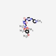 COc1cc(C)c(S(=O)(=O)N(C)Cc2nnc(C(=O)N3CCN(CC4CCCN(C)C4)CC3)o2)c(C)c1